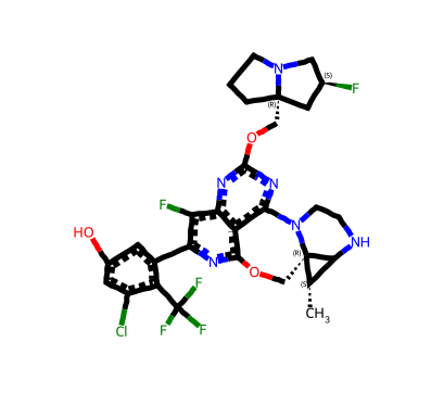 C[C@H]1C2NCCN3c4nc(OC[C@]56CCCN5C[C@@H](F)C6)nc5c(F)c(-c6cc(O)cc(Cl)c6C(F)(F)F)nc(c45)OC[C@]213